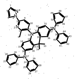 Cc1nc(-n2cccn2)ccc1N1c2ccc(N(c3ccccc3)c3ccccc3)cc2C(C)(C)c2cc(N(c3ccccc3)c3ccccc3)ccc21